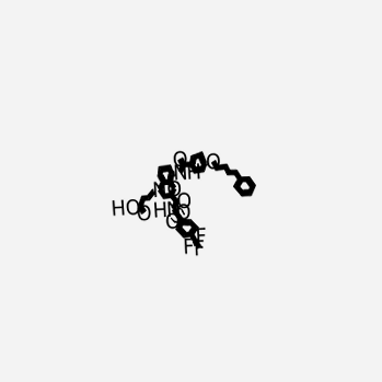 O=C(O)CCCN1CC(C(=O)NS(=O)(=O)c2ccc(C(F)(F)F)cc2)Oc2c(NC(=O)c3ccc(OCCCCc4ccccc4)cc3)cccc21